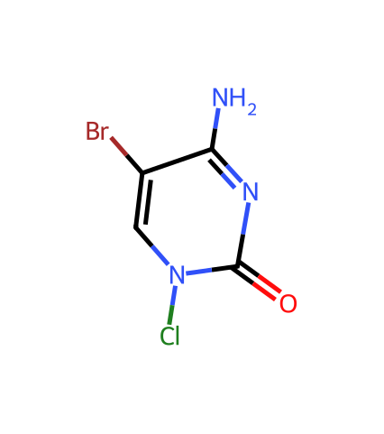 Nc1nc(=O)n(Cl)cc1Br